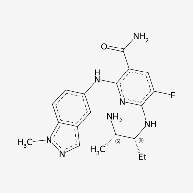 CC[C@@H](Nc1nc(Nc2ccc3c(cnn3C)c2)c(C(N)=O)cc1F)[C@H](C)N